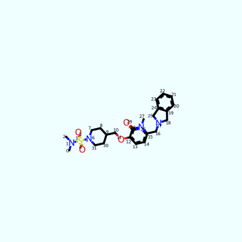 CN(C)S(=O)(=O)N1CCC(COc2ccc(CN3Cc4ccccc4C3)n(C)c2=O)CC1